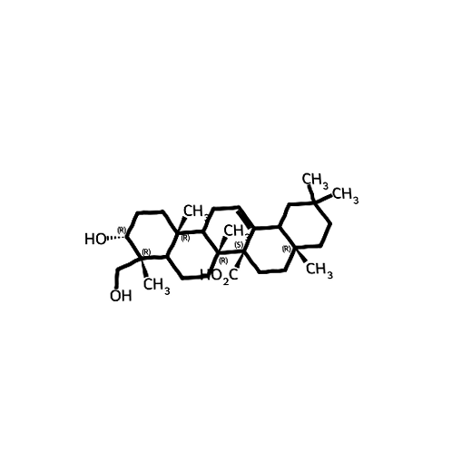 CC1(C)CC[C@]2(C)CC[C@@]3(C(=O)O)C(=CCC4[C@@]5(C)CC[C@@H](O)[C@@](C)(CO)C5CC[C@]43C)C2C1